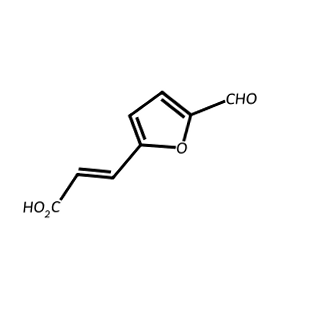 O=Cc1ccc(C=CC(=O)O)o1